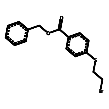 O=C(OCc1ccccc1)c1ccc(SCCBr)cc1